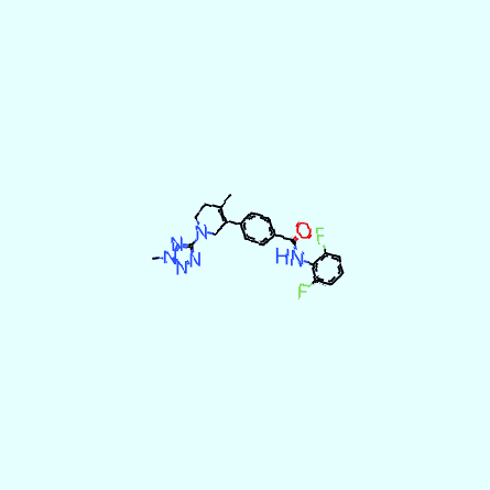 CC1=C(c2ccc(C(=O)Nc3c(F)cccc3F)cc2)CN(c2nnn(C)n2)CC1